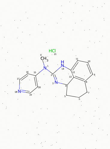 CN(C1=NC2CCCc3cccc(c32)N1)c1ccncc1.Cl